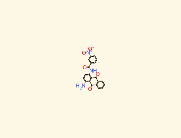 Nc1ccc(NC(=O)c2cccc([N+](=O)[O-])c2)c2c1C(=O)c1ccccc1C2=O